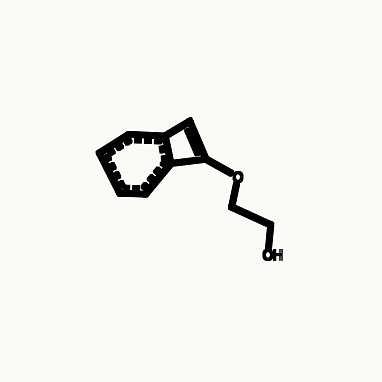 OCCOC1=Cc2ccccc21